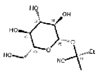 CC[C@](C)(C#N)O[C@@H]1O[C@H](CO)[C@@H](O)[C@H](O)[C@H]1O